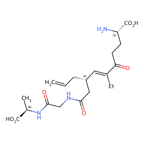 C=CC[C@H](C=C(CC)C(=O)CC[C@H](N)C(=O)O)CC(=O)NCC(=O)N[C@H](C)C(=O)O